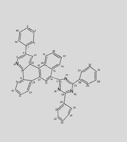 c1ccc(-c2cnc3c4ccccc4c4cc(-c5nc(-c6ccccc6)nc(-c6ccccc6)n5)c5ccccc5c4c3c2)cc1